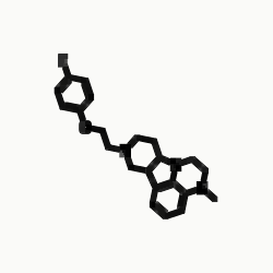 CN1CCN2c3c(cccc31)C1CN(CCOc3ccc(F)cc3)CCC12